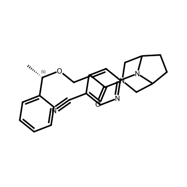 C[C@H](OCCC(=O)N1CC2CCC(C1)N2c1ccc(C#N)cn1)c1ccccc1